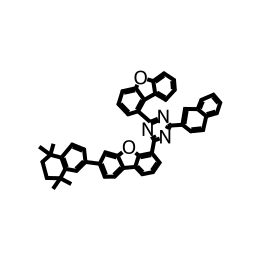 CC1(C)CCC(C)(C)c2cc(-c3ccc4c(c3)oc3c(-c5nc(-c6ccc7ccccc7c6)nc(-c6cccc7oc8ccccc8c67)n5)cccc34)ccc21